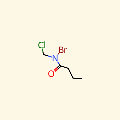 CCCC(=O)N(Br)CCl